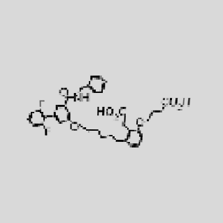 O=C(O)CCCOc1cccc(CCCCCCOc2cc(C(=O)NCc3ccccc3)cc(-c3c(F)cccc3F)c2)c1CCC(=O)O